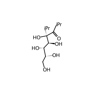 CC(C)C(=O)[C@@](O)(C(C)C)[C@@H](O)[C@@H](O)[C@H](O)CO